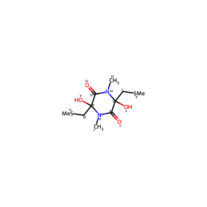 CSCC1(O)C(=O)N(C)C(O)(CSC)C(=O)N1C